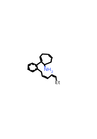 CC/C=C\C=C/Cc1ccccc1C1=CCC=CCC1N